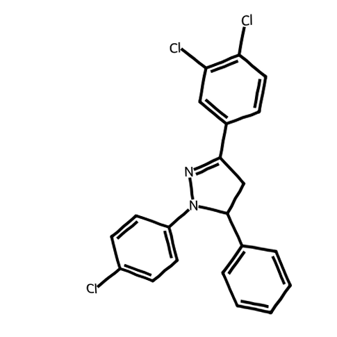 Clc1ccc(N2N=C(c3ccc(Cl)c(Cl)c3)CC2c2ccccc2)cc1